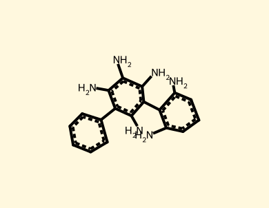 Nc1cccc(N)c1-c1c(N)c(N)c(N)c(-c2ccccc2)c1N